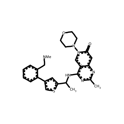 CNCc1ccccc1-c1csc(C(C)Nc2nc(C)nc3cc(=O)n(N4CCOCC4)cc23)c1